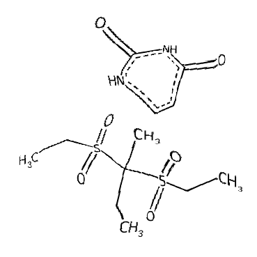 CCC(C)(S(=O)(=O)CC)S(=O)(=O)CC.O=c1cc[nH]c(=O)[nH]1